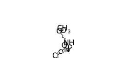 COC(=O)CCCCCNC(=O)c1cccc2ccn(Cc3ccc(Cl)cc3)c12